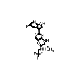 CC[C@@H](Nc1ccnc(-c2c[nH]c3ncc(F)cc23)n1)C(=O)NCC(F)(F)F